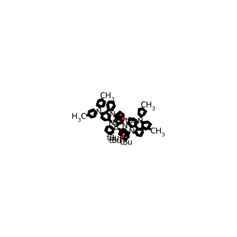 Cc1ccc(N(c2ccc(C)cc2)c2ccc(N3c4ccc(C(C)(C)C)cc4B4c5cc(C(C)(C)C)ccc5N(c5ccc(N(c6ccc(C)cc6)c6ccc(C)cc6)c6c7ccccc7n(-c7ccc(C(C)(C)C)cc7)c56)c5cccc3c54)c3c2c2ccccc2n3-c2ccc(C(C)(C)C)cc2)cc1